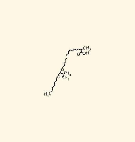 CCCCCCCOCC(COCCCCCCCC/C=C\CCCCC(C)C(=O)O)N(C)C